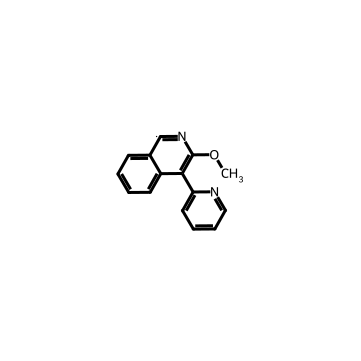 COc1n[c]c2ccccc2c1-c1ccccn1